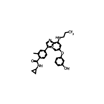 Cc1cc(-c2cnc3c(NCCC(F)(F)F)cc(Oc4cccc(O)c4)cn23)ccc1C(=O)NC1CC1